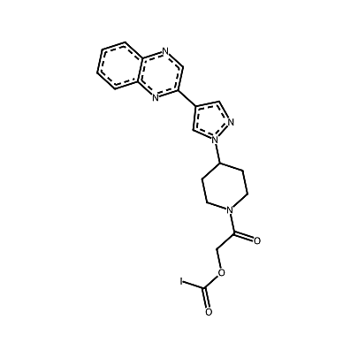 O=C(I)OCC(=O)N1CCC(n2cc(-c3cnc4ccccc4n3)cn2)CC1